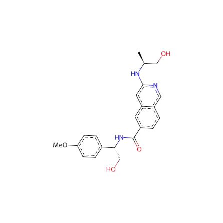 COc1ccc([C@@H](CO)NC(=O)c2ccc3cnc(N[C@@H](C)CO)cc3c2)cc1